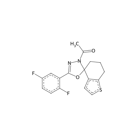 CC(=O)N1N=C(c2cc(F)ccc2F)OC12CCCc1sccc12